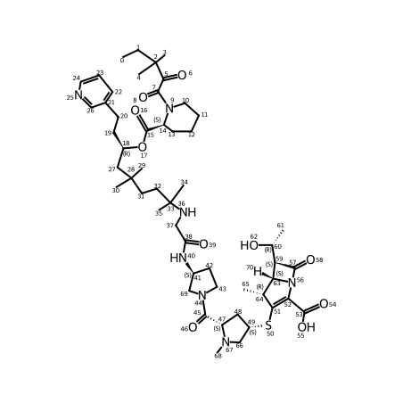 CCC(C)(C)C(=O)C(=O)N1CCCC[C@H]1C(=O)O[C@H](CCc1cccnc1)CC(C)(C)CCC(C)(C)NCC(=O)N[C@H]1CCN(C(=O)[C@@H]2C[C@H](SC3=C(C(=O)O)N4C(=O)[C@H]([C@@H](C)O)[C@H]4[C@H]3C)CN2C)C1